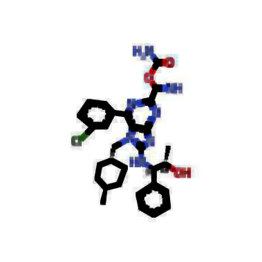 C[C@H](O)[C@H](Nc1nc2nc(C(=N)OC(N)=O)nc(-c3cccc(Cl)c3)c2n1C[C@H]1CC[C@H](C)CC1)c1ccccc1